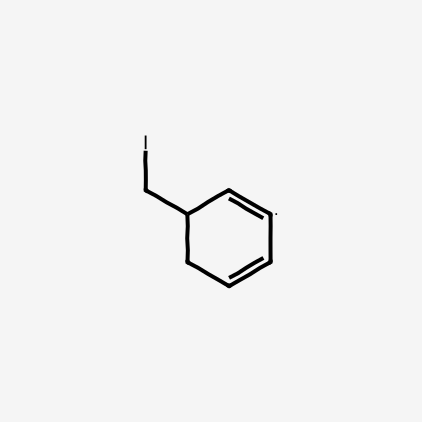 ICC1C=[C]C=CC1